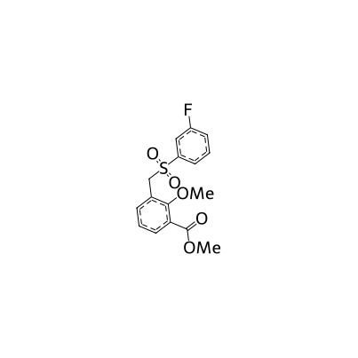 COC(=O)c1cccc(CS(=O)(=O)c2cccc(F)c2)c1OC